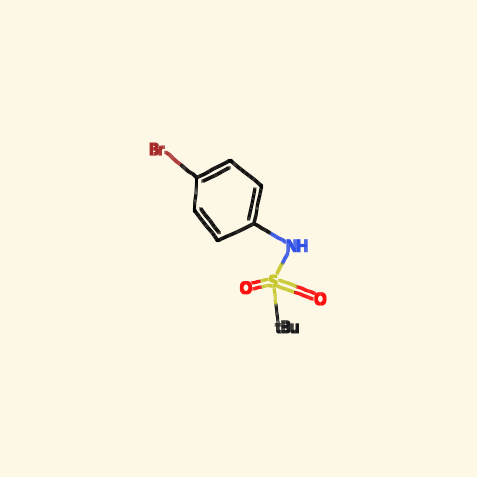 CC(C)(C)S(=O)(=O)Nc1ccc(Br)cc1